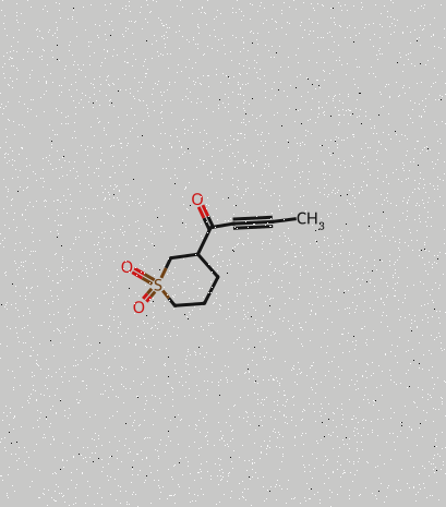 CC#CC(=O)C1CCCS(=O)(=O)C1